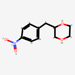 O=[N+]([O-])c1ccc(C[C]2COCCO2)cc1